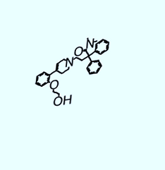 CN(C)C(=O)C(CCN1CC=C(c2ccccc2OCCO)CC1)(c1ccccc1)c1ccccc1